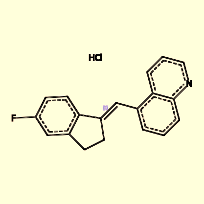 Cl.Fc1ccc2c(c1)CC/C2=C\c1cccc2ncccc12